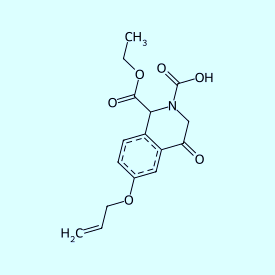 C=CCOc1ccc2c(c1)C(=O)CN(C(=O)O)C2C(=O)OCC